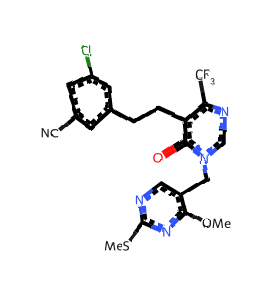 COc1nc(SC)ncc1Cn1cnc(C(F)(F)F)c(CCc2cc(Cl)cc(C#N)c2)c1=O